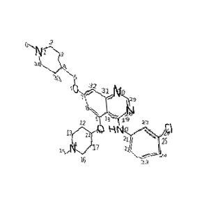 CN1CCC(COc2cc(OC3CCN(C)CC3)c3c(Nc4cccc(Cl)c4)ncnc3c2)CC1